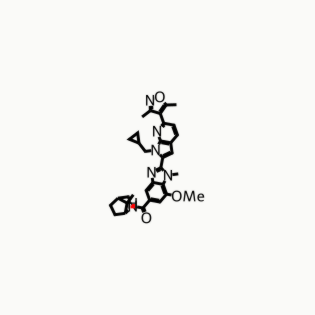 COc1cc(C(=O)N2CC3CCC2[C@@H]3C)cc2nc(-c3cc4ccc(-c5c(C)noc5C)nc4n3CC3CC3)n(C)c12